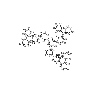 c1cc(-c2cc(-c3cccc(-c4cnc5c6ccccc6c6ccccc6c5n4)c3)cc(-c3cccc(-n4c5ccccc5c5ccccc54)c3)c2)cc(-c2cnc3c4ccccc4c4ccccc4c3n2)c1